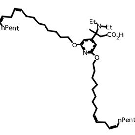 CCCCC/C=C\C/C=C\CCCCCCCCOc1cc(C(C)(CC(=O)O)N(CC)CC)cc(OCCCCCCCC/C=C\C/C=C\CCCCC)n1